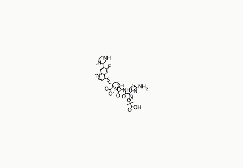 CN1CCNCC1c1cc2c(cc1F)c(SCC1=C(C(=O)[O-])N3C(=O)C(NC(=O)/C(=N\OC(C)(C)C(=O)O)c4csc(N)n4)[C@@H]3SC1)cc[n+]2C